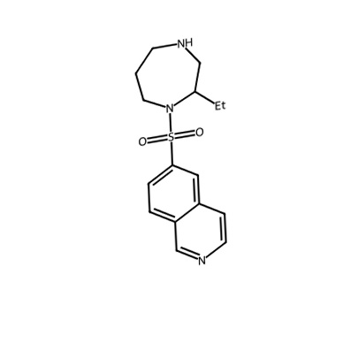 CCC1CNCCCN1S(=O)(=O)c1ccc2cnccc2c1